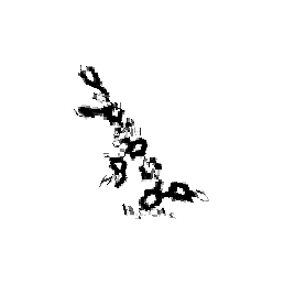 CC1(C)CCC(CN2CCN(c3ccc(C(=O)NS(=O)(=O)c4cnc(OCC5CCOCC5)c(C#N)c4)c(Oc4cc5cc[nH]c5cc4F)c3)CC2)=C(c2ccc(Cl)cc2)C1